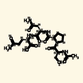 CC(=O)N[C@@H](CO)C(=O)N1CCC[C@H]1C(=O)N[C@@H](CC(N)=O)C(=O)N[C@@H](CCC(N)=O)C(=O)O